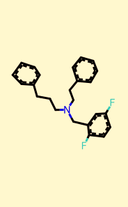 Fc1ccc(F)c(CN(CCCc2ccccc2)CCc2ccccc2)c1